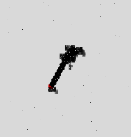 CCCCCCCCCCCCCCCCCCNC(=O)C(O)C(C)(O)C(O)C(=O)NC(C[N+](C)(C)C)C(=O)OC.[I-]